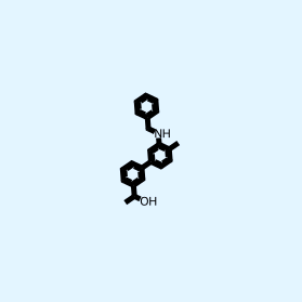 Cc1ccc(-c2cccc(C(C)O)c2)cc1NCc1ccccc1